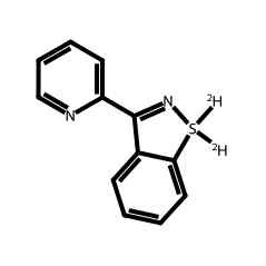 [2H]S1([2H])N=C(c2ccccn2)c2ccccc21